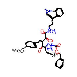 COc1ccc(CC(C(=O)C(=O)NCCc2cn(C)c3ccccc23)C(=O)C(CC(C)C)NC(=O)OCc2ccccc2)cc1